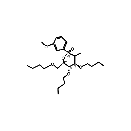 CCCCOC[C@H]1O[P@@](=O)(c2cccc(OC)c2)C(C)[C@@H](OCCCC)[C@@H]1OCCCC